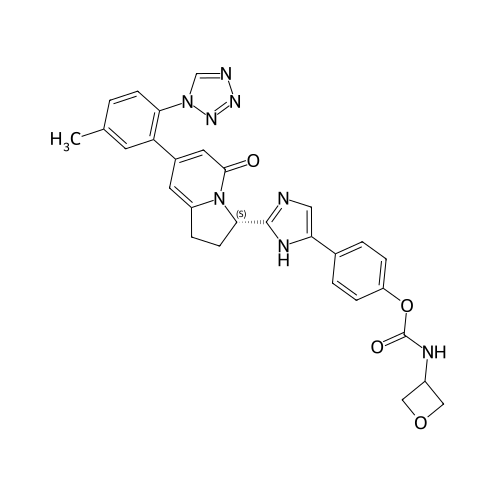 Cc1ccc(-n2cnnn2)c(-c2cc3n(c(=O)c2)[C@H](c2ncc(-c4ccc(OC(=O)NC5COC5)cc4)[nH]2)CC3)c1